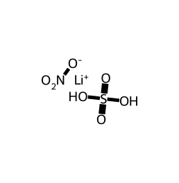 O=S(=O)(O)O.O=[N+]([O-])[O-].[Li+]